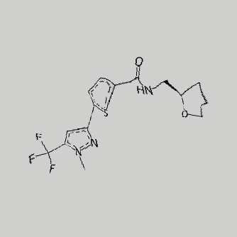 Cn1nc(-c2ccc(C(=O)NC[C@H]3CCCO3)s2)cc1C(F)(F)F